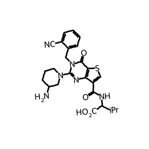 CC(C)C(NC(=O)c1csc2c(=O)n(Cc3ccccc3C#N)c(N3CCCC(N)C3)nc12)C(=O)O